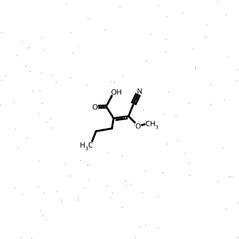 CCCC(C(=O)O)=C(C#N)OC